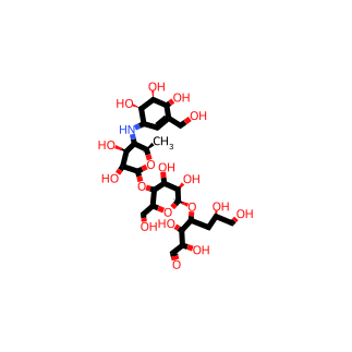 C[C@H]1OC(OC2C(CO)O[C@H](OC(C[C@H](O)CO)C(O)C(O)C=O)[C@H](O)C2O)C(O)[C@@H](O)C1NC1C=C(CO)C(O)[C@@H](O)[C@H]1O